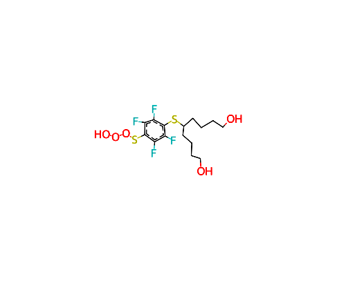 OCCCCC(CCCCO)Sc1c(F)c(F)c(SOOO)c(F)c1F